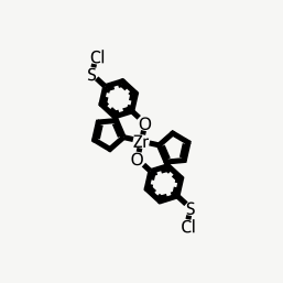 ClSc1ccc([O][Zr]([O]c2ccc(SCl)cc2)([C]2=CC=CC2)[C]2=CC=CC2)cc1